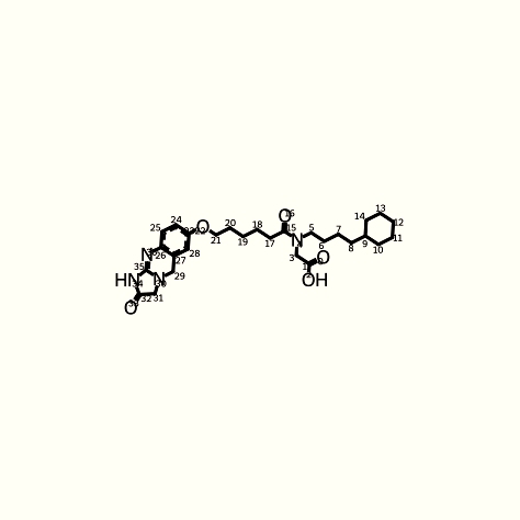 O=C(O)CN(CCCCC1CCCCC1)C(=O)CCCCCOc1ccc2c(c1)CN1CC(=O)NC1=N2